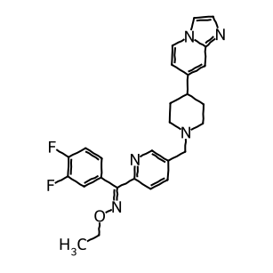 CCO/N=C(\c1ccc(F)c(F)c1)c1ccc(CN2CCC(c3ccn4ccnc4c3)CC2)cn1